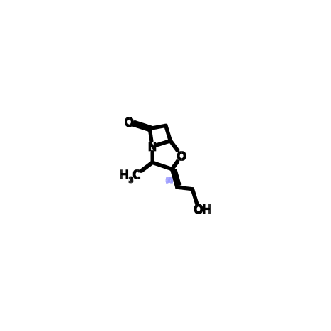 CC1/C(=C/CO)OC2CC(=O)N21